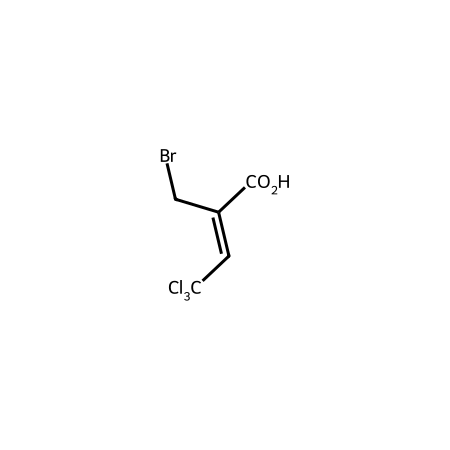 O=C(O)/C(=C/C(Cl)(Cl)Cl)CBr